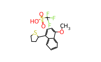 COc1ccc(C2CCCS2)c2ccccc12.O=S(=O)(O)C(F)(F)F